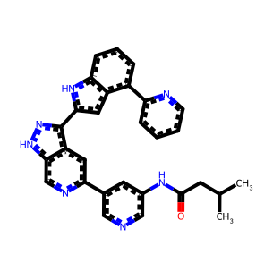 CC(C)CC(=O)Nc1cncc(-c2cc3c(-c4cc5c(-c6ccccn6)cccc5[nH]4)n[nH]c3cn2)c1